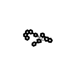 c1ccc(-c2cccc(N(c3ccc(-c4ccc5ccc6ccc7ccccc7c6c5c4)cc3)c3cccc4c3oc3cc5ccccc5cc34)c2)cc1